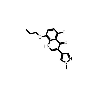 CCCOc1ccc(F)c2c(=O)c(-c3cnn(C)c3)c[nH]c12